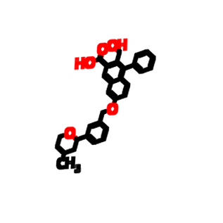 CC1CCOC(c2cccc(COc3ccc4c(-c5ccccc5)c(CO)c(C(=O)O)cc4c3)c2)C1